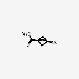 COC(=O)C12CC(C#N)(C1)C2